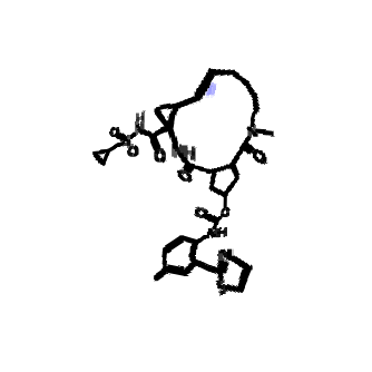 Cc1ccc(NC(=O)OC2CC3C(=O)NC4(C(=O)NS(=O)(=O)C5CC5)CC4/C=C/CCCCN(C)C(=O)C3C2)c(-c2nccs2)c1